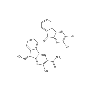 N#Cc1nc2c(nc1C#N)-c1ccccc1C2=O.N#Cc1nc2c(nc1C(N)=O)-c1ccccc1C2=NO